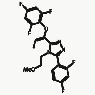 C/C=C(/Oc1c(F)cc(F)cc1F)c1nnc(-c2ccc(F)cc2F)n1CCOC